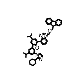 CC(C)c1cc(-c2cccc3c2ncn3COCC2c3ccccc3-c3ccccc32)c2oc3c(-n4ccnc4C4CCCCC4)cc(C(C)C)cc3c2c1